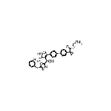 CCOC(=O)C1(c2ccc(-c3ccc(C4=C(C(O)c5nnc(Cc6ccccc6)o5)C(C)NO4)cc3)cc2)CC1